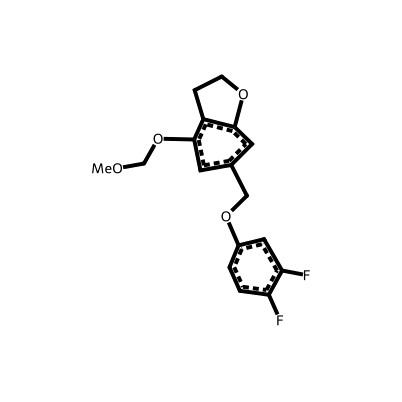 COCOc1cc(COc2ccc(F)c(F)c2)cc2c1CCO2